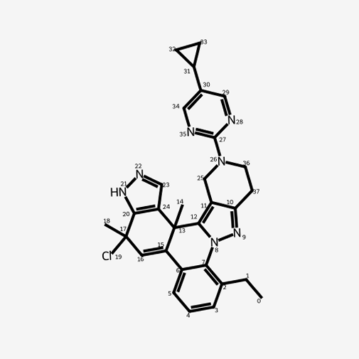 CCc1cccc2c1-n1nc3c(c1C1(C)C2=CC(C)(Cl)c2[nH]ncc21)CN(c1ncc(C2CC2)cn1)CC3